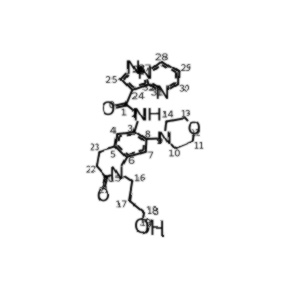 O=C(Nc1cc2c(cc1N1CCOCC1)N(CCCO)C(=O)CC2)c1cnn2cccnc12